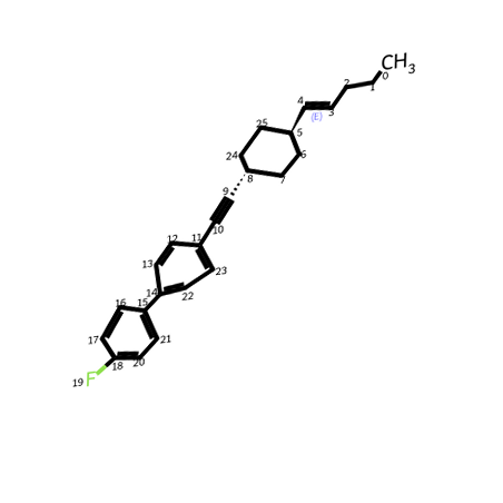 CCC/C=C/[C@H]1CC[C@H](C#Cc2ccc(-c3ccc(F)cc3)cc2)CC1